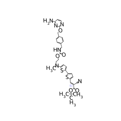 CN(CCOC(=O)NCc1ccc(COc2nccc(N)n2)cc1)c1ccc(-c2ccc(/C=C(\C#N)C(=O)OC(C)(C)C)s2)s1